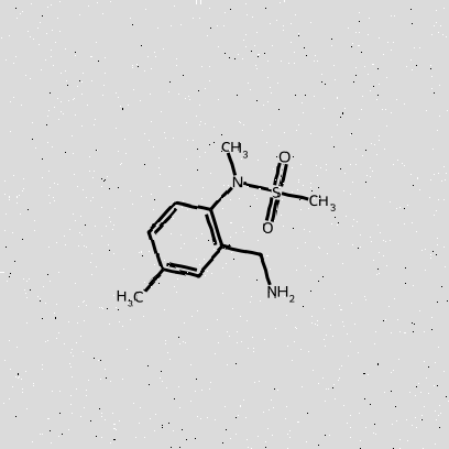 Cc1ccc(N(C)S(C)(=O)=O)c(CN)c1